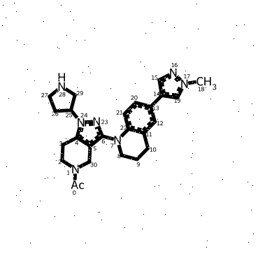 CC(=O)N1CCc2c(c(N3CCCc4cc(-c5cnn(C)c5)ccc43)nn2C2CCNC2)C1